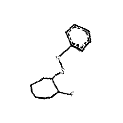 FC1CCCCC1SSc1ccccc1